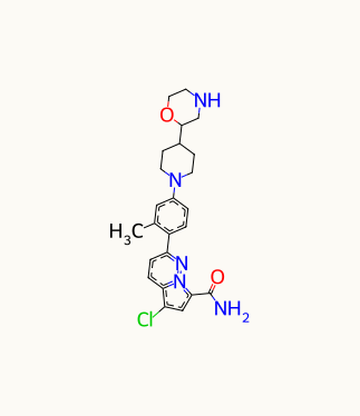 Cc1cc(N2CCC(C3CNCCO3)CC2)ccc1-c1ccc2c(Cl)cc(C(N)=O)n2n1